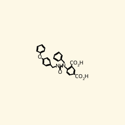 O=C(O)c1ccc(N(Cc2ccccc2)C(=O)NCc2ccc(Oc3ccccc3)cc2)c(C(=O)O)c1